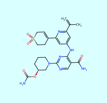 C=C(C)c1cc(Nc2nc(N3CCC[C@H](OC(N)=O)C3)ncc2C(N)=O)cc(C2=CCS(=O)(=O)CC2)n1